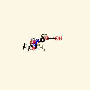 CC(C)(C)OC(=O)N1C(C)(C)OCC1(C)c1nnc(-c2ccc(OCCCCCO)c(C(F)(F)F)c2)s1